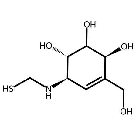 OCC1=C[C@@H](NCS)[C@H](O)C(O)[C@H]1O